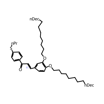 CCCCCCCCCCCCCCCCCCOc1ccc(/C=C/C(=O)c2ccc(SCCC)cc2)cc1OCCCCCCCCCCCCCCCCCC